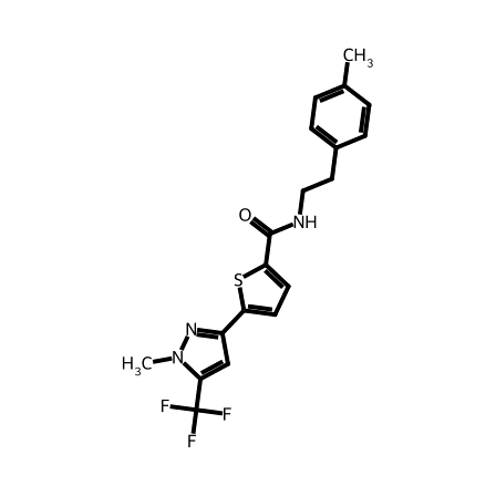 Cc1ccc(CCNC(=O)c2ccc(-c3cc(C(F)(F)F)n(C)n3)s2)cc1